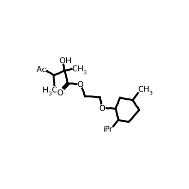 CC(=O)C(C)C(C)(O)C(=O)OCCOC1CC(C)CCC1C(C)C